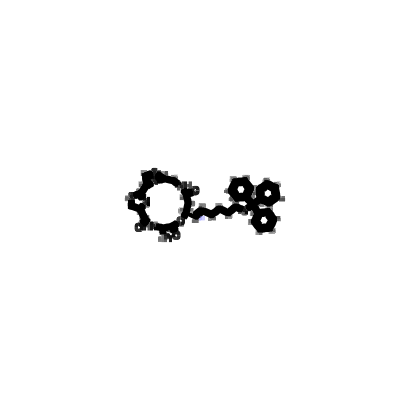 CC(C)C1NC(=O)[C@]2(C)CSC(=N2)c2csc(n2)CNC(=O)C[C@@H](/C=C/CCCCSC(c2ccccc2)(c2ccccc2)c2ccccc2)OC1=O